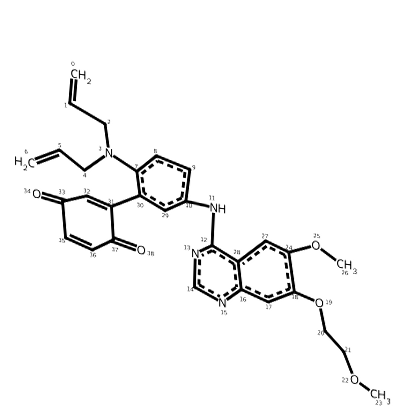 C=CCN(CC=C)c1ccc(Nc2ncnc3cc(OCCOC)c(OC)cc23)cc1C1=CC(=O)C=CC1=O